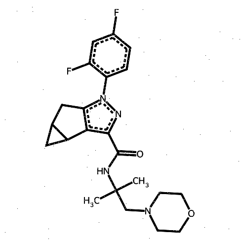 CC(C)(CN1CCOCC1)NC(=O)c1nn(-c2ccc(F)cc2F)c2c1C1CC1C2